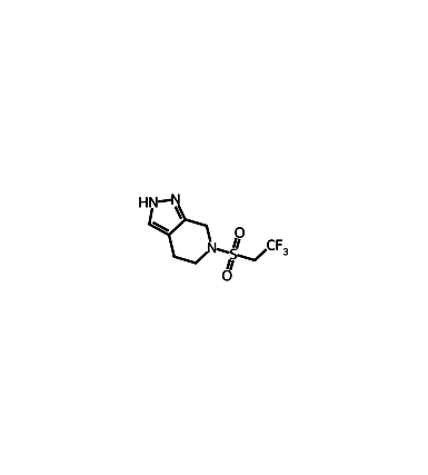 O=S(=O)(CC(F)(F)F)N1CCc2c[nH]nc2C1